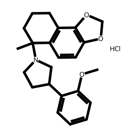 COc1ccccc1C1CCN(C2(C)CCCc3c2ccc2c3OCO2)C1.Cl